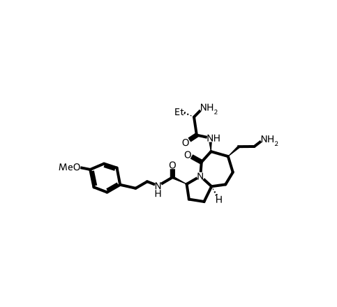 CC[C@H](N)C(=O)N[C@@H]1C(=O)N2[C@@H](CC[C@@H]1CCN)CC[C@H]2C(=O)NCCc1ccc(OC)cc1